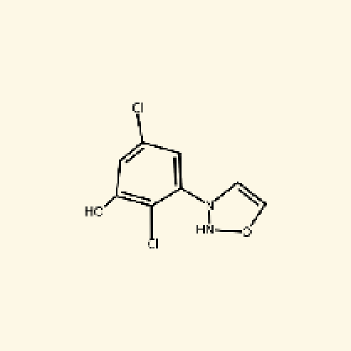 Oc1cc(Cl)cc(N2C=CON2)c1Cl